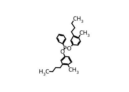 CCCCc1cc(OP(Oc2ccc(C)c(CCCC)c2)c2ccccc2)ccc1C